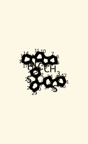 CC1(C)c2ccccc2-c2ccc3c4ccccc4n(-c4ccc5c(c4)sc4cccc(-c6ccc7c(c6)sc6ccccc67)c45)c3c21